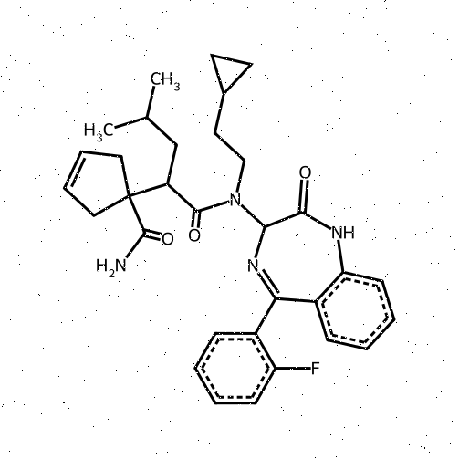 CC(C)CC(C(=O)N(CCC1CC1)C1N=C(c2ccccc2F)c2ccccc2NC1=O)C1(C(N)=O)CC=CC1